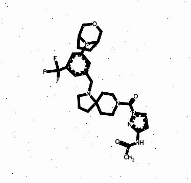 CC(=O)Nc1ccn(C(=O)N2CCC3(CCCN3Cc3cc(N4C5CCC4COC5)cc(C(F)(F)F)c3)CC2)n1